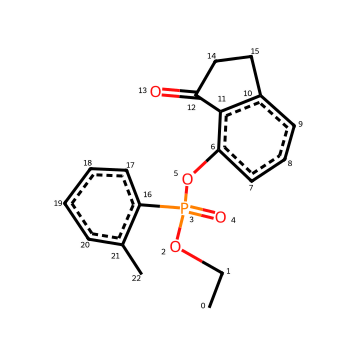 CCOP(=O)(Oc1cccc2c1C(=O)CC2)c1ccccc1C